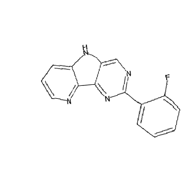 Fc1ccccc1-c1ncc2[nH]c3cccnc3c2n1